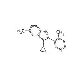 Cc1ccc2nc(-c3cnccc3C)c(C3CC3)n2c1